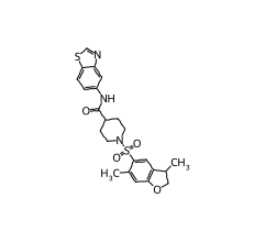 Cc1cc2c(cc1S(=O)(=O)N1CCC(C(=O)Nc3ccc4scnc4c3)CC1)C(C)CO2